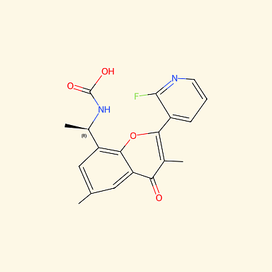 Cc1cc([C@@H](C)NC(=O)O)c2oc(-c3cccnc3F)c(C)c(=O)c2c1